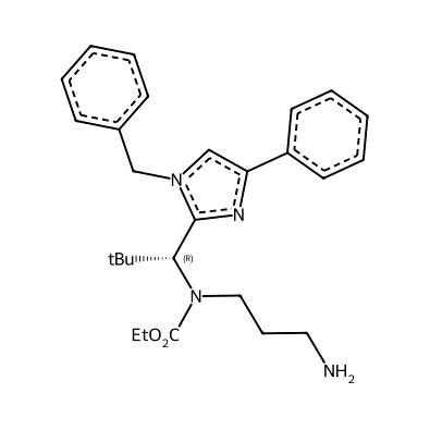 CCOC(=O)N(CCCN)[C@@H](c1nc(-c2ccccc2)cn1Cc1ccccc1)C(C)(C)C